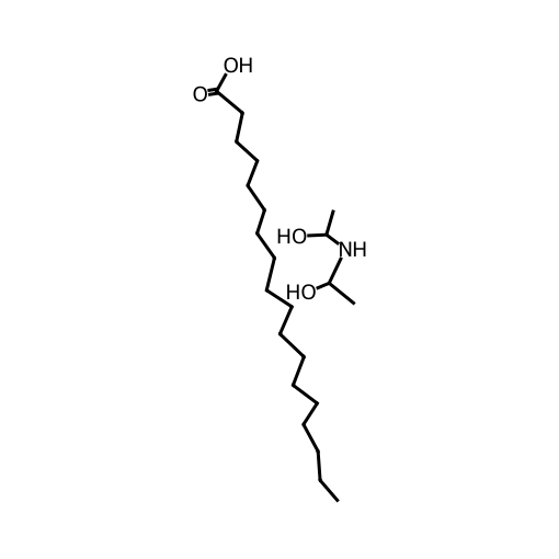 CC(O)NC(C)O.CCCCCCCCCCCCCCCCCC(=O)O